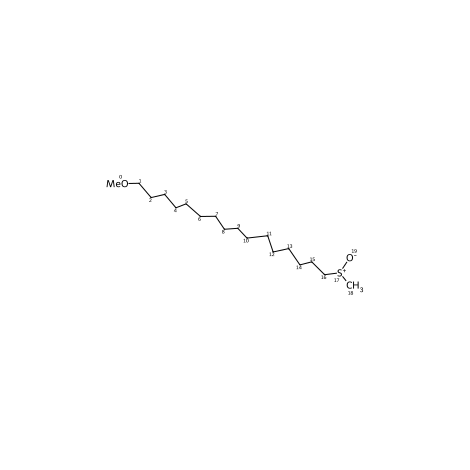 COCCCCCCCCCCCCCCCC[S+](C)[O-]